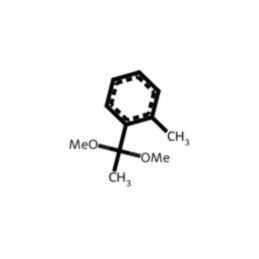 COC(C)(OC)c1ccccc1C